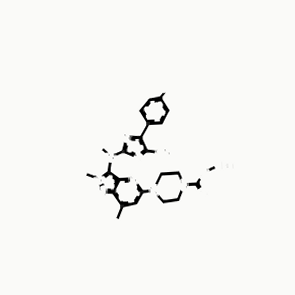 CCn1nc2c(C)cc(N3CCN(C(=O)OC(C)(C)C)CC3)nc2c1N(C)c1nc(-c2ccc(F)cc2)c(C#N)s1